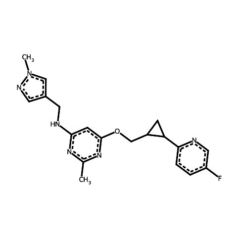 Cc1nc(NCc2cnn(C)c2)cc(OCC2CC2c2ccc(F)cn2)n1